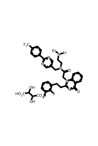 CCN(CC)CCN(Cc1cnc(-c2ccc(C(F)(F)F)cc2)nc1)C(=O)Cn1c(CCc2cccc(F)c2F)nc(=O)c2ccccc21.O=C(O)C(O)C(O)C(=O)O